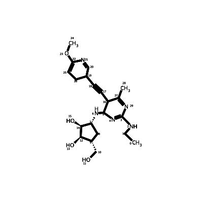 CCNC1=NC(N[C@@H]2C[C@H](CO)[C@@H](O)[C@H]2O)C(C#CC2C=NC(OC)=CC2)C(C)=N1